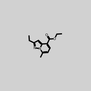 CCOC(=O)c1ccc(C)n2nc(CC)cc12